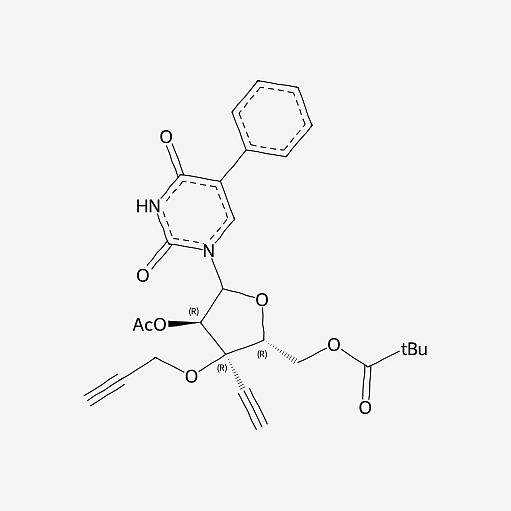 C#CCO[C@]1(C#C)[C@@H](COC(=O)C(C)(C)C)OC(n2cc(-c3ccccc3)c(=O)[nH]c2=O)[C@@H]1OC(C)=O